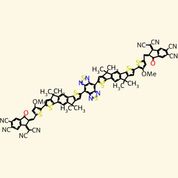 COc1cc(/C=C2\C(=O)c3cc(C#N)c(C#N)cc3C2=C(C#N)C#N)sc1-c1cc2c(s1)-c1cc3c(cc1C2(C)C)-c1sc(-c2c4c(c(-c5cc6c(s5)-c5cc7c(cc5C6(C)C)-c5sc(-c6sc(/C=C8\C(=O)c9cc(C#N)c(C#N)cc9C8=C(C#N)C#N)cc6OC)cc5C7(C)C)c5nsnc25)N=S=N4)cc1C3(C)C